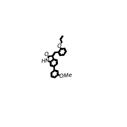 C=CCOc1ccccc1/C=C1/C(=O)Nc2cc(-c3cccc(OC)c3)ccc21